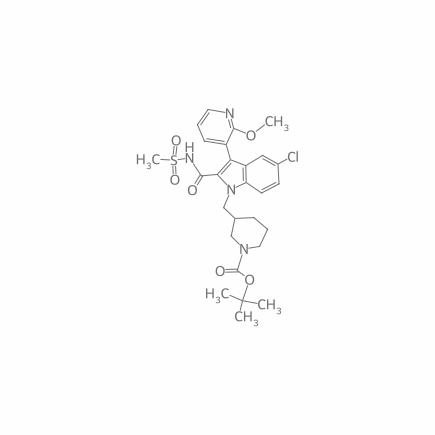 COc1ncccc1-c1c(C(=O)NS(C)(=O)=O)n(CC2CCCN(C(=O)OC(C)(C)C)C2)c2ccc(Cl)cc12